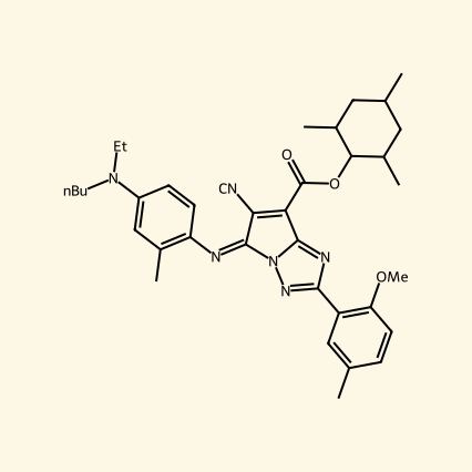 [C-]#[N+]C1=C(C(=O)OC2C(C)CC(C)CC2C)c2nc(-c3cc(C)ccc3OC)nn2/C1=N/c1ccc(N(CC)CCCC)cc1C